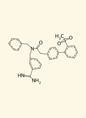 CS(=O)(=O)c1ccccc1-c1ccc(CC(=O)N(Cc2ccccc2)Cc2cccc(C(=N)N)c2)cc1